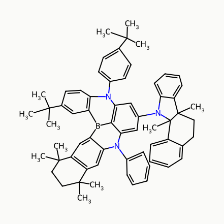 CC(C)(C)c1ccc(N2c3ccc(C(C)(C)C)cc3B3c4cc5c(cc4N(c4ccccc4)c4cc(N6c7ccccc7C7(C)CCc8ccccc8C67C)cc2c43)C(C)(C)CCC5(C)C)cc1